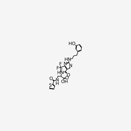 O=C(NCC(NC(=O)c1cnc(NCCCc2cccc(O)c2)nc1C(F)(F)F)C(=O)O)c1cccs1